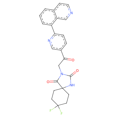 O=C(CN1C(=O)NC2(CCC(F)(F)CC2)C1=O)c1ccc(-c2cccc3ccncc23)nc1